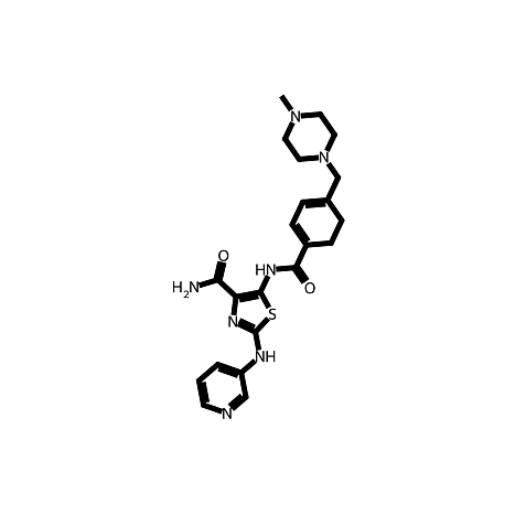 CN1CCN(CC2=CC=C(C(=O)Nc3sc(Nc4cccnc4)nc3C(N)=O)CC2)CC1